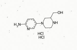 Cl.Cl.Nc1ccc(N2CCNC(CO)C2)cn1